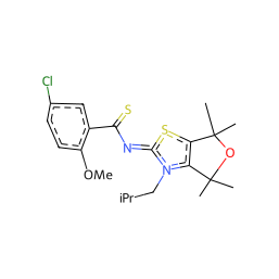 COc1ccc(Cl)cc1C(=S)/N=c1\sc2c(n1CC(C)C)C(C)(C)OC2(C)C